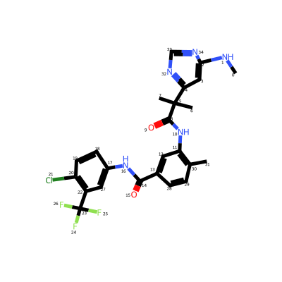 CNc1cc(C(C)(C)C(=O)Nc2cc(C(=O)Nc3ccc(Cl)c(C(F)(F)F)c3)ccc2C)ncn1